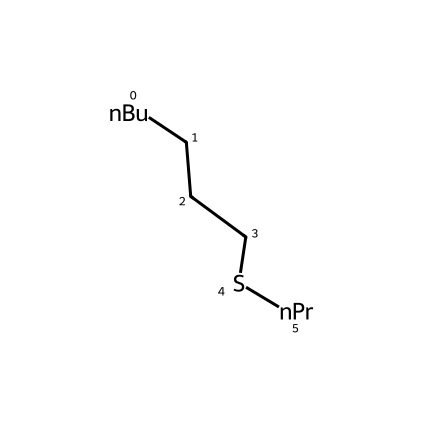 [CH2]CCCCCCSCCC